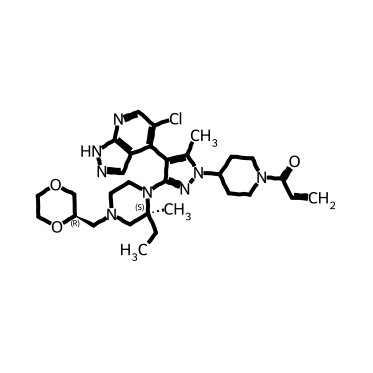 C=CC(=O)N1CCC(n2nc(N3CCN(C[C@@H]4COCCO4)C[C@]3(C)CC)c(-c3c(Cl)cnc4[nH]ncc34)c2C)CC1